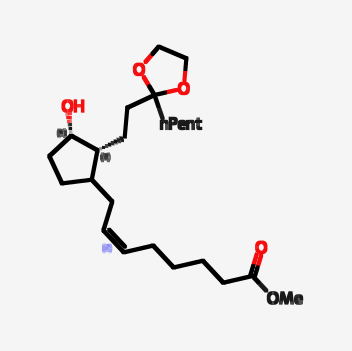 CCCCCC1(CC[C@@H]2C(C/C=C\CCCCC(=O)OC)CC[C@@H]2O)OCCO1